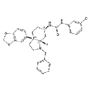 O=C(Nc1cccc(Cl)c1)N[C@@H]1CC[C@@]2(c3ccc4c(c3)OCO4)CCN(Cc3ccccc3)[C@H]2C1